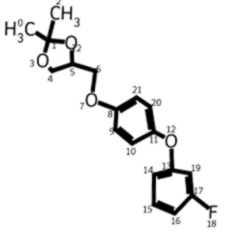 CC1(C)OCC(COc2ccc(Oc3cccc(F)c3)cc2)O1